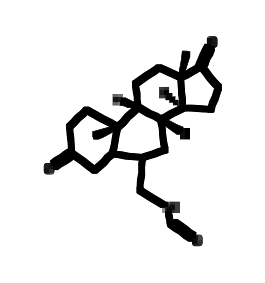 C[C@]12CCC(=O)CC1C(CNC=O)C[C@@H]1[C@H]2CC[C@]2(C)C(=O)CC[C@@H]12